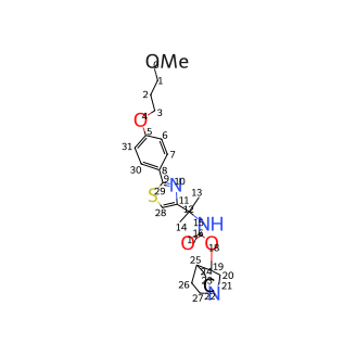 COCCCOc1ccc(-c2nc(C(C)(C)NC(=O)OC3CCN4CCC3CC4)cs2)cc1